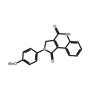 COc1ccc(N2Cc3c(c4ccccc4[nH]c3=O)C2=O)cc1